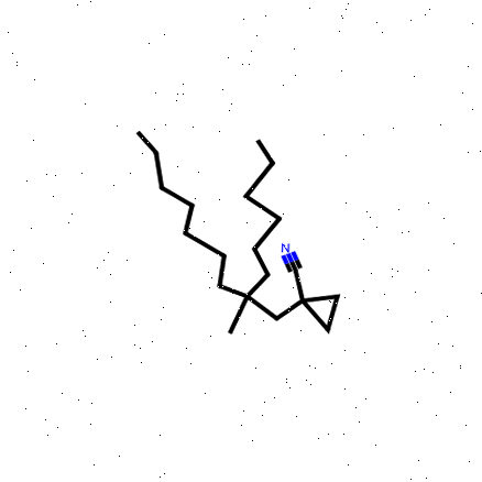 CCCCCCCC(C)(CCCCCC)CC1(C#N)CC1